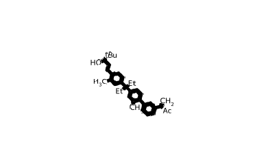 C=C(C(C)=O)c1cccc(-c2ccc(C(CC)(CC)c3ccc(CCC(O)C(C)(C)C)c(C)c3)cc2C)c1